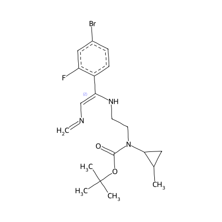 C=N/C=C(\NCCN(C(=O)OC(C)(C)C)C1CC1C)c1ccc(Br)cc1F